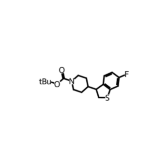 CC(C)(C)OC(=O)N1CCC(C2CSc3cc(F)ccc32)CC1